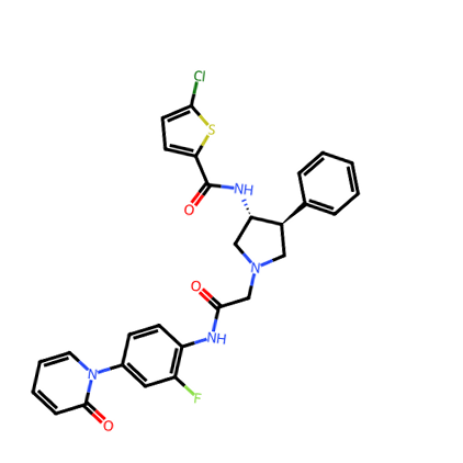 O=C(CN1C[C@H](NC(=O)c2ccc(Cl)s2)[C@@H](c2ccccc2)C1)Nc1ccc(-n2ccccc2=O)cc1F